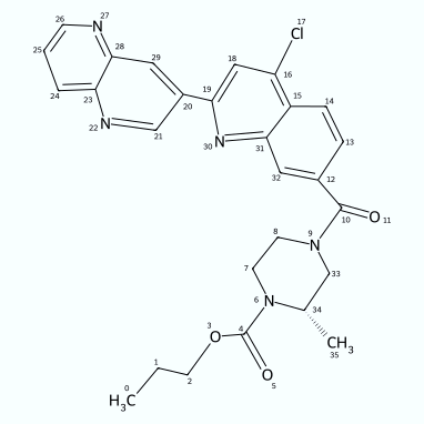 CCCOC(=O)N1CCN(C(=O)c2ccc3c(Cl)cc(-c4cnc5cccnc5c4)nc3c2)C[C@@H]1C